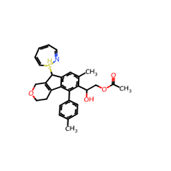 CC(=O)OCC(O)c1c(C)cc2c(c1-c1ccc(C)cc1)C1=C(COCC1)C2[SH]1C=CC=CC=N1